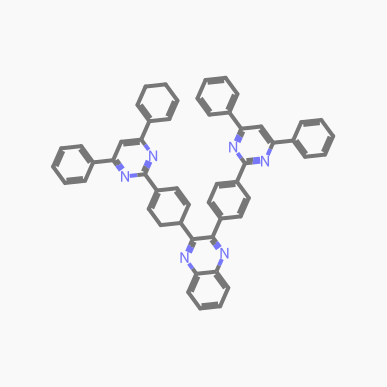 C1=CC(c2cc(-c3ccccc3)nc(C3=CCC(c4nc5ccccc5nc4-c4ccc(-c5nc(-c6ccccc6)cc(-c6ccccc6)n5)cc4)C=C3)n2)=CCC1